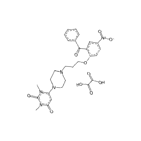 Cn1c(N2CCN(CCCOc3ccc([N+](=O)[O-])cc3C(=O)c3ccccc3)CC2)cc(=O)n(C)c1=O.O=C(O)C(=O)O